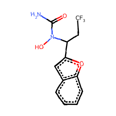 NC(=O)N(O)C(CC(F)(F)F)c1cc2ccccc2o1